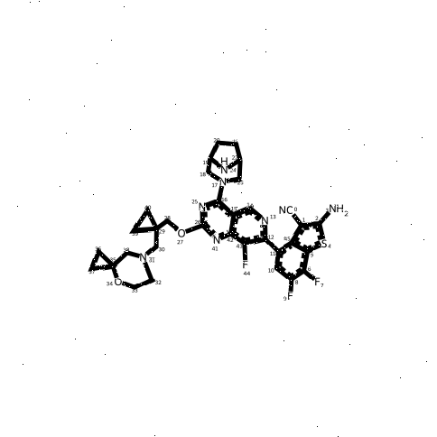 N#Cc1c(N)sc2c(F)c(F)cc(-c3ncc4c(N5CC6CCC(C5)N6)nc(OCC5(CN6CCOC7(CC7)C6)CC5)nc4c3F)c12